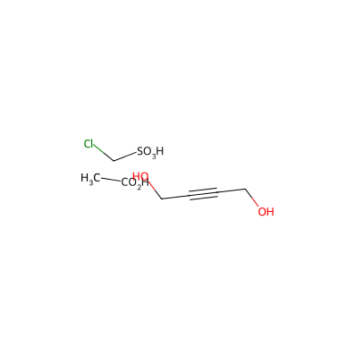 CC(=O)O.O=S(=O)(O)CCl.OCC#CCO